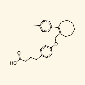 Cc1ccc(C2=C(COc3ccc(CCCC(=O)O)cc3)CCCCCC2)cc1